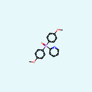 COc1ccc(P(=O)(c2ccc(OC)cc2)c2ccccn2)cc1